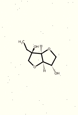 CC[C@@]1(O)CO[C@@H]2[C@@H](O)CO[C@@H]21